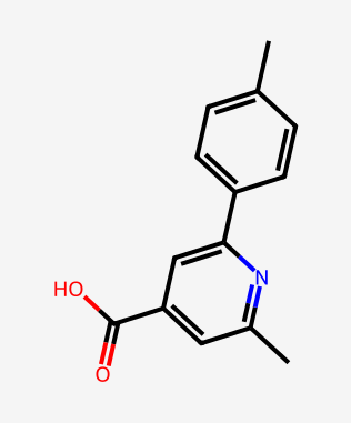 Cc1ccc(-c2cc(C(=O)O)cc(C)n2)cc1